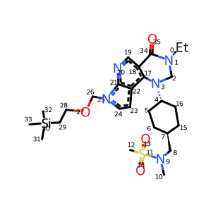 CCN1CN([C@H]2CC[C@H](CN(C)S(C)(=O)=O)CC2)c2c(cnc3c2ccn3COCC[Si](C)(C)C)C1=O